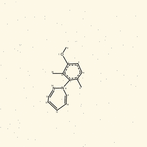 COc1ccc(C)c(N2C=CC=CC=N2)c1C